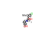 COc1cc(Cl)ccc1C(C)(C)CC(O)(/C=N/c1cccc2cc(O)ccc12)C(F)(F)F